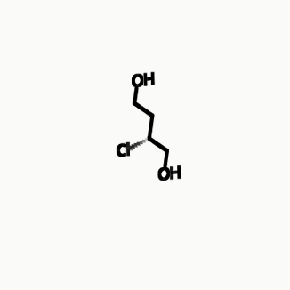 OCC[C@@H](Cl)CO